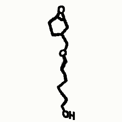 OCCCCCCOCC1CCC2OC2C1